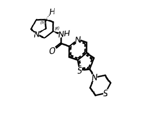 O=C(N[C@@H]1C[C@@H]2CCN(C2)C1)c1cc2sc(N3CCSCC3)cc2cn1